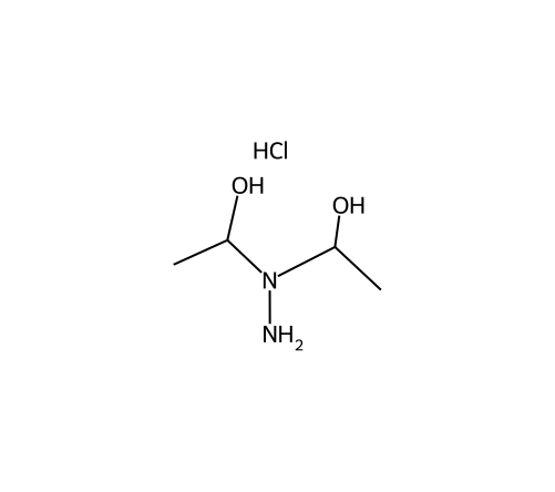 CC(O)N(N)C(C)O.Cl